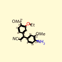 CCOc1cc(/C(=C\C#N)c2ccc(N)c(OC)c2)ccc1OC